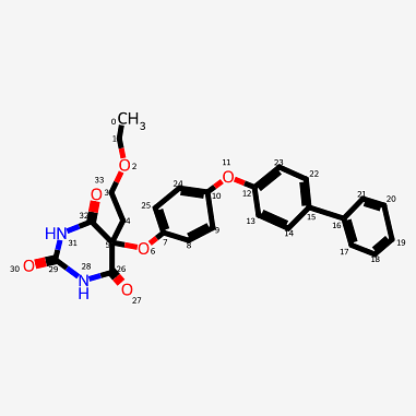 CCOCCC1(Oc2ccc(Oc3ccc(-c4ccccc4)cc3)cc2)C(=O)NC(=O)NC1=O